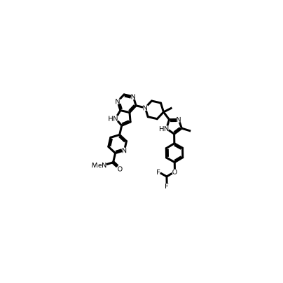 CNC(=O)c1ccc(-c2cc3c(N4CCC(C)(c5nc(C)c(-c6ccc(OC(F)F)cc6)[nH]5)CC4)ncnc3[nH]2)cn1